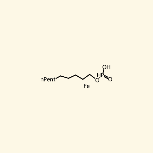 CCCCCCCCCCO[PH](=O)O.[Fe]